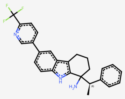 C[C@H](c1ccccc1)C1(N)CCCc2c1[nH]c1ccc(-c3ccc(C(F)(F)F)nc3)cc21